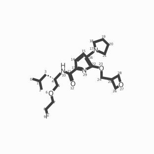 CC(C)C[C@@H](COCCF)NC(=O)c1ccc(N2CCCC2)c(OCC2COC2)n1